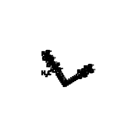 C=CO[Si]([O-])([O-])F.[Li+].[Li+].[Li+].[Li+].[Li+].[Li+].[Li+].[Li+].[Li+].[Li+].[Li+].[Li+].[Li+].[Li+].[O-][Si]([O-])([O-])F.[O-][Si]([O-])([O-])F.[O-][Si]([O-])([O-])F.[O-][Si]([O-])([O-])F